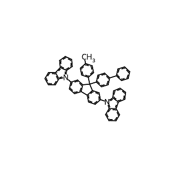 Cc1ccc(C2(c3ccc(-c4ccccc4)cc3)c3cc(-n4c5ccccc5c5ccccc54)ccc3-c3ccc(-n4c5ccccc5c5ccccc54)cc32)cc1